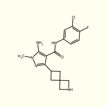 Cn1nc(C2CC3(CNC3)C2)c(C(=O)Nc2ccc(F)c(Cl)c2)c1N